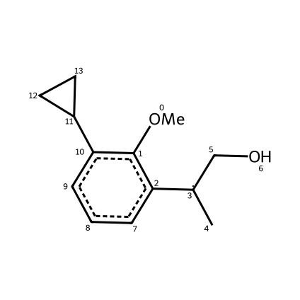 COc1c([C](C)CO)cccc1C1CC1